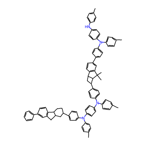 Cc1ccc(Nc2ccc(N(c3ccc(C)cc3)c3ccc(-c4ccc5c(c4)C(C)(C)C4C(c6ccc(N(c7ccc(C)cc7)c7ccc(N(c8ccc(C)cc8)c8ccc(C9CCC%10c%11ccc(-c%12ccccc%12)cc%11CC%10C9)cc8)cc7)cc6)CC54)cc3)cc2)cc1